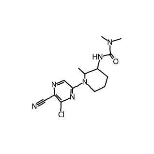 CC1C(NC(=O)N(C)C)CCCN1c1cnc(C#N)c(Cl)n1